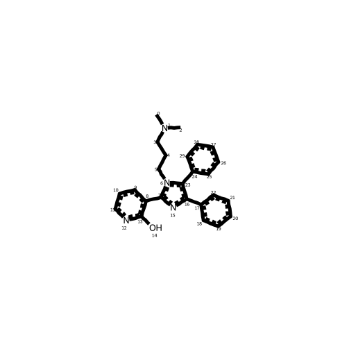 CN(C)CCCn1c(-c2cccnc2O)nc(-c2ccccc2)c1-c1ccccc1